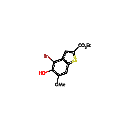 CCOC(=O)c1cc2c(Br)c(O)c(OC)cc2s1